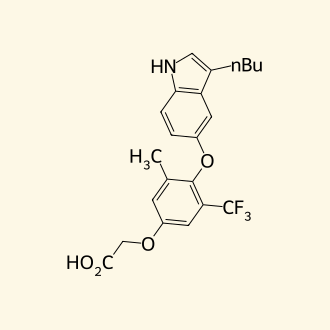 CCCCc1c[nH]c2ccc(Oc3c(C)cc(OCC(=O)O)cc3C(F)(F)F)cc12